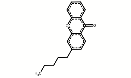 CCCCCc1ccc2c(=O)c3ccccc3oc2c1